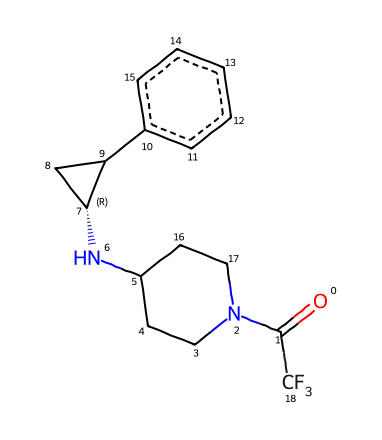 O=C(N1CCC(N[C@@H]2CC2c2ccccc2)CC1)C(F)(F)F